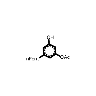 CCCCCc1cc(O)cc(OC(C)=O)c1